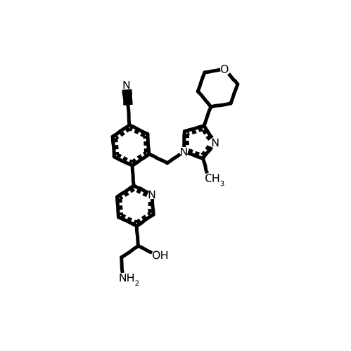 Cc1nc(C2CCOCC2)cn1Cc1cc(C#N)ccc1-c1ccc(C(O)CN)cn1